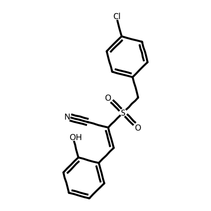 N#CC(=Cc1ccccc1O)S(=O)(=O)Cc1ccc(Cl)cc1